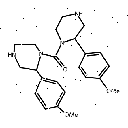 COc1ccc(C2CNCCN2C(=O)N2CCNCC2c2ccc(OC)cc2)cc1